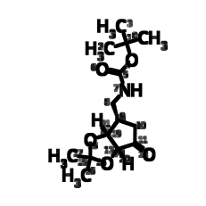 CC(C)(C)OC(=O)NC[C@H]1CC(=O)[C@@H]2OC(C)(C)O[C@H]12